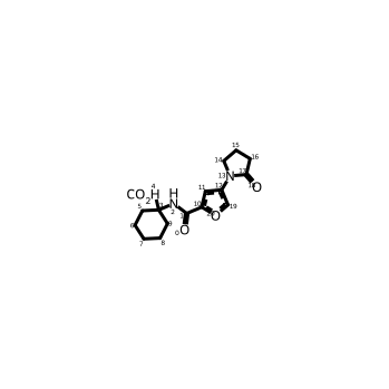 O=C(NC1(C(=O)O)CCCCC1)c1cc(N2CCCC2=O)co1